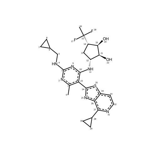 Cc1nc(NCC2CC2)nc(N[C@@H]2C[C@H](C(C)(F)F)[C@@H](O)[C@H]2O)c1-c1nc2c(C3CC3)nccc2s1